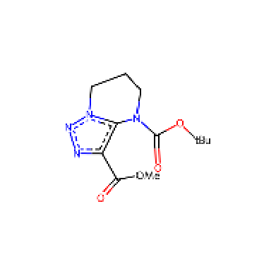 COC(=O)c1nnn2c1N(C(=O)OC(C)(C)C)CCC2